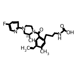 C=Cc1cc(C(=O)N2CCN(c3ccc(F)cn3)C[C@@H]2C)c(CCCNC(=O)O)cc1C